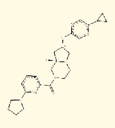 O=C(c1cccc(N2CCCC2)n1)N1CCN2C[C@H](Oc3cnc(C4CC4)cn3)C[C@H]2C1